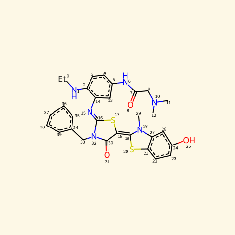 CCNc1ccc(NC(=O)CN(C)C)cc1N=C1SC(=C2Sc3ccc(O)cc3N2C)C(=O)N1Cc1ccccc1